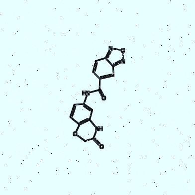 O=C1COc2ccc(NC(=O)c3ccc4nonc4c3)cc2N1